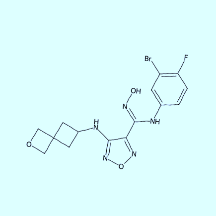 ON=C(Nc1ccc(F)c(Br)c1)c1nonc1NC1CC2(COC2)C1